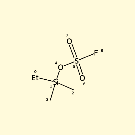 CC[Si](C)(C)OS(=O)(=O)F